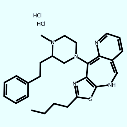 CCCCc1nc2c(s1)NC=c1cccnc1=C2N1CCN(C)C(CCc2ccccc2)C1.Cl.Cl